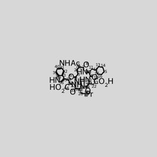 CC(=O)N[C@@H](CCC(N)=O)C(=O)N[C@@H](CC1CCCCC1)C(=O)N[C@@H](CC(=O)O)C(=O)N[C@@H](CC(C)C)C(=O)N[C@@H](Cc1c[nH]c2ccccc12)C(=O)O